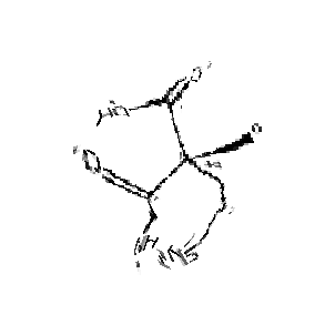 C[C@@](CS)(C(N)=O)C(=O)O